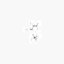 CC(=O)C(F)C(O)OCC(F)(F)F